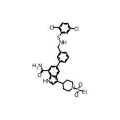 CCS(=O)(=O)N1CCC(c2c[nH]c3c(C(N)=O)cc(-c4cccc(CNSc5cc(Cl)ccc5Cl)c4)cc23)CC1